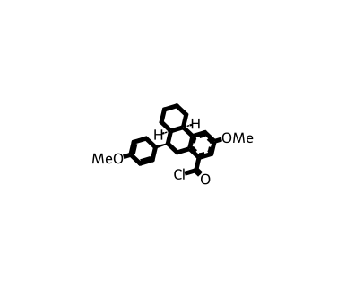 COC1=CCC([C@@H]2Cc3c(C(=O)Cl)cc(OC)cc3[C@@H]3CCCC[C@@H]32)C=C1